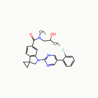 CC(O)CN(C)C(=O)c1ccc2c(c1)N(c1ncc(-c3ccccc3F)cn1)CC21CC1